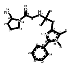 Cc1c(CC(C)(C)NCC(=O)N2CCCC2C#N)nc(-c2ccccc2)n1C